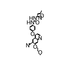 COCCOc1cc2nccc(Oc3ccc(NC(=O)Nc4cc(C)on4)cc3)c2cc1C#N